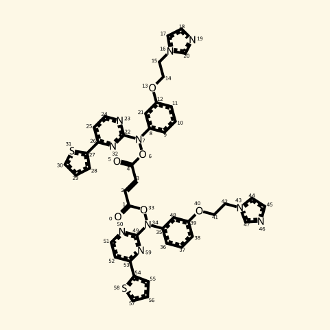 O=C(C=CC(=O)ON(c1cccc(OCCn2ccnc2)c1)c1nccc(-c2cccs2)n1)ON(c1cccc(OCCn2ccnc2)c1)c1nccc(-c2cccs2)n1